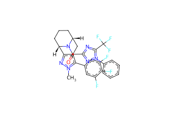 Cn1nc2c(c1-c1cc(F)c(F)c(F)c1)C[C@H]1CCC[C@@H]2N1C(=O)c1nc(C(F)(F)F)n(-c2ccccc2)n1